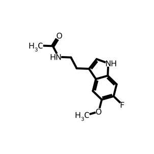 COc1cc2c(CCNC(C)=O)c[nH]c2cc1F